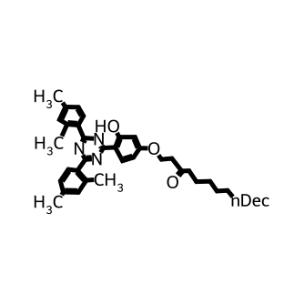 CCCCCCCCCCCCCCCC(=O)CCOc1ccc(-c2nc(-c3ccc(C)cc3C)nc(-c3ccc(C)cc3C)n2)c(O)c1